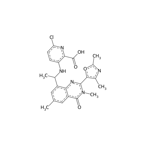 Cc1cc(C(C)Nc2ccc(Cl)nc2C(=O)O)c2nc(-c3oc(C)nc3C)n(C)c(=O)c2c1